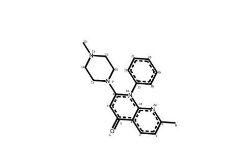 Cc1ccc2c(=O)cc(N3CCN(C)CC3)n(-c3ccccc3)c2n1